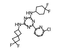 FC1(F)CCC(Nc2nc(NC3CC4(C3)CC(F)(F)C4)nc(-c3cccc(Cl)n3)n2)CC1